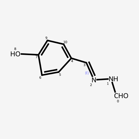 O=CN/N=C/c1ccc(O)cc1